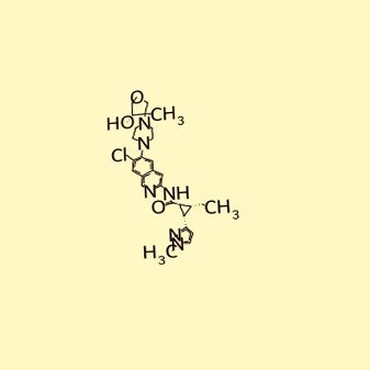 CC[C@H]1[C@H](C(=O)Nc2cc3cc(N4CCN([C@@]5(C)COC[C@H]5O)CC4)c(Cl)cc3cn2)[C@H]1c1ccn(C)n1